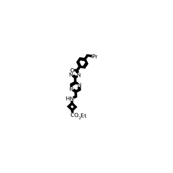 CCOC(=O)C1CC(NCc2cnc(-c3noc(-c4ccc(CC(C)C)cc4)n3)cn2)C1